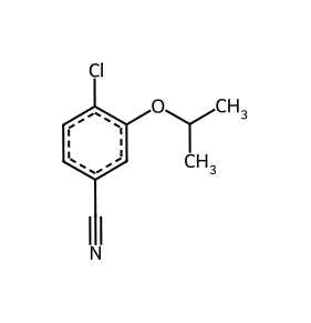 CC(C)Oc1cc(C#N)ccc1Cl